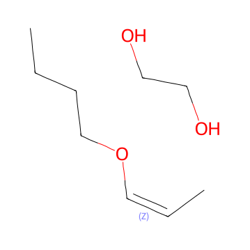 C/C=C\OCCCC.OCCO